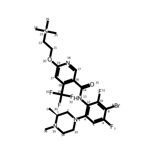 C[C@H]1CN(c2cc(F)c(Br)c(F)c2NC(=O)c2cnc(OCCS(C)(C)C)cc2C(F)(F)F)CCN1C